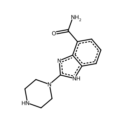 NC(=O)c1cccc2[nH]c(N3CCNCC3)nc12